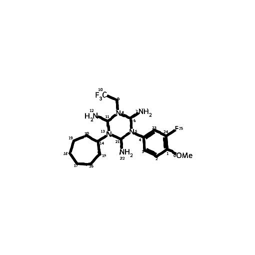 COc1ccc(N2C(N)N(CC(F)(F)F)C(N)N(C3CCCCCC3)C2N)cc1F